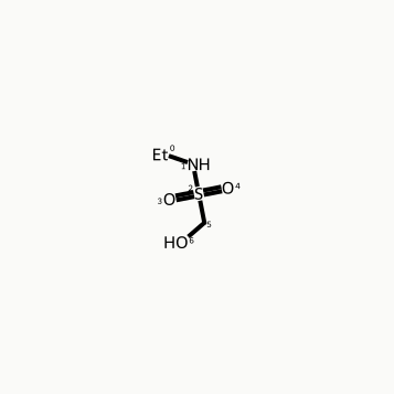 CCNS(=O)(=O)CO